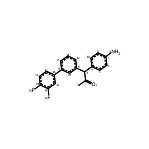 CC(=O)C(c1ccc(N)cc1)c1cccc(-c2ccc(F)c(F)c2)c1